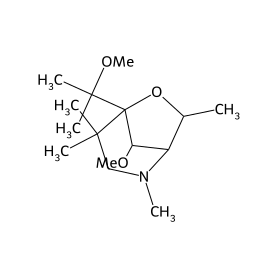 COC1C2C(C)OC1(C(C)(C)OC)C(C)(C)CN2C